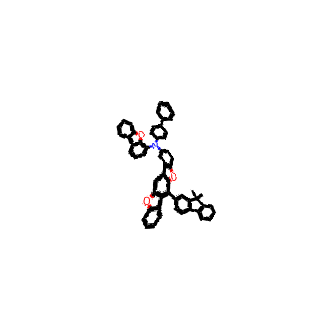 CC1(C)c2ccccc2-c2ccc(-c3c4oc5ccc(N(c6ccc(-c7ccccc7)cc6)c6cccc7c6oc6ccccc67)cc5c4cc4oc5ccccc5c34)cc21